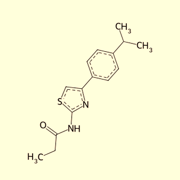 CCC(=O)Nc1nc(-c2ccc(C(C)C)cc2)cs1